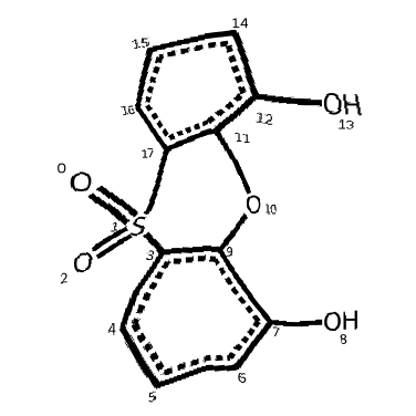 O=S1(=O)c2cccc(O)c2Oc2c(O)cccc21